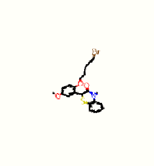 COc1ccc(OCCCCBr)c(C2Sc3ccccc3N(C)C2=O)c1